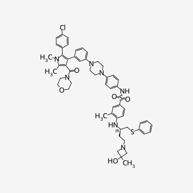 Cc1cc(S(=O)(=O)Nc2ccc(N3CCN(c4cccc(-c5c(C(=O)N6CCOCC6)c(C)n(C)c5-c5ccc(Cl)cc5)c4)CC3)cc2)ccc1N[C@H](CCN1CC(C)(O)C1)CSc1ccccc1